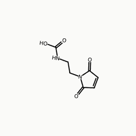 O=C(O)NCCN1C(=O)C=CC1=O